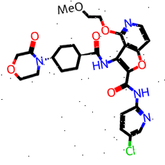 COCCOc1nccc2oc(C(=O)Nc3ccc(Cl)cn3)c(NC(=O)[C@H]3CC[C@H](N4CCOCC4=O)CC3)c12